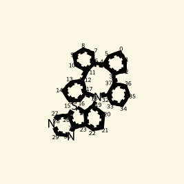 c1ccc2c(c1)c1ccccc1c1ccccc1n(-c1cccc3c1sc1cncnc13)c1ccccc21